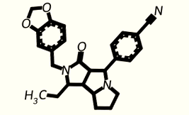 CCC1C2C(C(=O)N1Cc1ccc3c(c1)OCO3)C(c1ccc(C#N)cc1)N1CCCC21